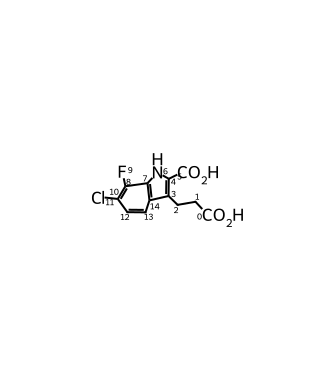 O=C(O)CCc1c(C(=O)O)[nH]c2c(F)c(Cl)ccc12